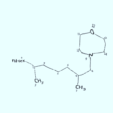 CCCCCCC(C)CCCC(C)CN1CCOCC1